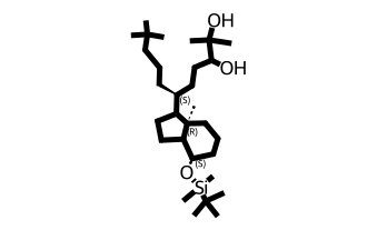 CC(C)(C)CCC[C@@H](CCC(O)C(C)(C)O)C1CCC2[C@@H](O[Si](C)(C)C(C)(C)C)CCC[C@]12C